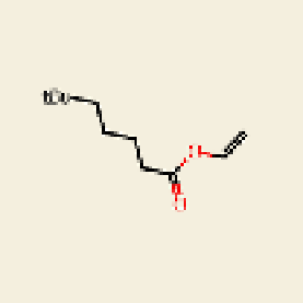 C=COC(=O)CCCCC(C)(C)C